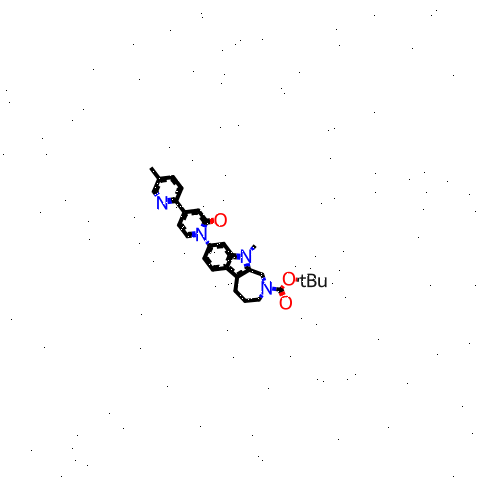 Cc1ccc(-c2ccn(-c3ccc4c5c(n(C)c4c3)CN(C(=O)OC(C)(C)C)CCC5)c(=O)c2)nc1